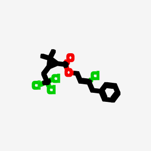 CC1(C)C(CC(Cl)(Cl)Cl)C1C(=O)OC/C=C(\Cl)Cc1ccccc1